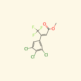 COC(=O)C=C(c1cc(Cl)c(Cl)c(Cl)c1)C(F)(F)F